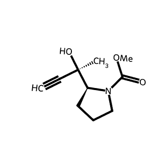 C#C[C@@](C)(O)[C@@H]1CCCN1C(=O)OC